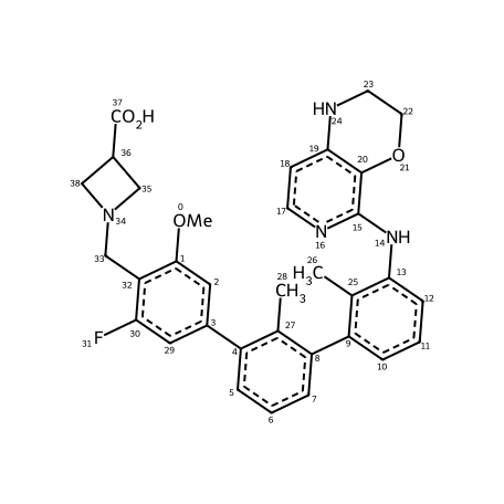 COc1cc(-c2cccc(-c3cccc(Nc4nccc5c4OCCN5)c3C)c2C)cc(F)c1CN1CC(C(=O)O)C1